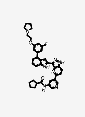 O=C(Nc1cncc(-c2ccc3[nH]nc(-c4cc5c(-c6cc(F)cc(OCCN7CCCC7)c6)cccc5[nH]4)c3n2)c1)C1CCCC1